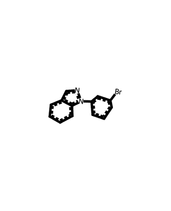 Brc1cccc(-n2ncc3ccccc32)c1